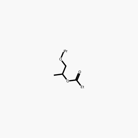 CCC(=O)OC(C)COC(C)C